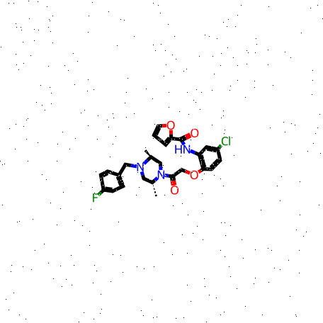 C[C@@H]1CN(Cc2ccc(F)cc2)[C@@H](C)CN1C(=O)COc1ccc(Cl)cc1NC(=O)c1ccco1